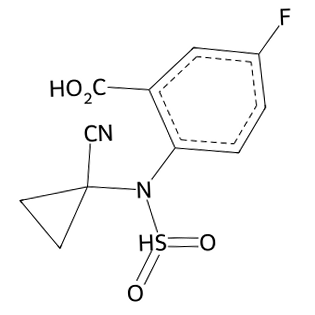 N#CC1(N(c2ccc(F)cc2C(=O)O)[SH](=O)=O)CC1